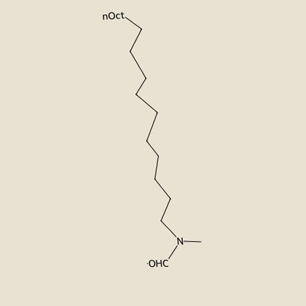 CCCCCCCCCCCCCCCCCCN(C)[C]=O